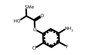 CSC(O)C(=O)Oc1cc(N)c(F)cc1Cl